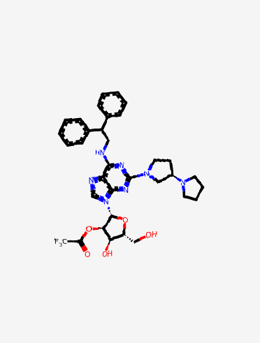 O=C(O[C@@H]1[C@H](O)[C@@H](CO)O[C@H]1n1cnc2c(NCC(c3ccccc3)c3ccccc3)nc(N3CC[C@@H](N4CCCC4)C3)nc21)C(F)(F)F